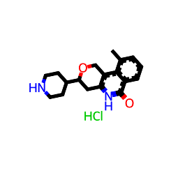 Cc1cccc2c(=O)[nH]c3c(c12)COC(C1CCNCC1)C3.Cl